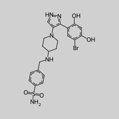 NS(=O)(=O)c1ccc(CNC2CCN(c3c[nH]nc3-c3cc(Br)c(O)cc3O)CC2)cc1